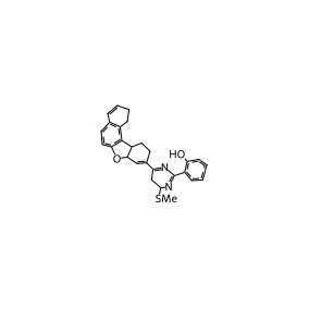 CSC1CC(C2=CC3Oc4ccc5c(c4C3CC2)CCC=C5)=NC(c2ccccc2O)=N1